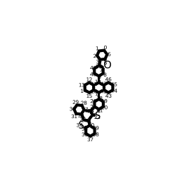 c1ccc2c(c1)oc1cc(-c3c4ccccc4c(-c4ccc5sc6c(c5c4)c4ccccc4c4sc5ccccc5c46)c4ccccc34)ccc12